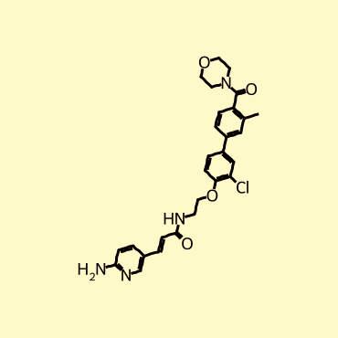 Cc1cc(-c2ccc(OCCNC(=O)/C=C/c3ccc(N)nc3)c(Cl)c2)ccc1C(=O)N1CCOCC1